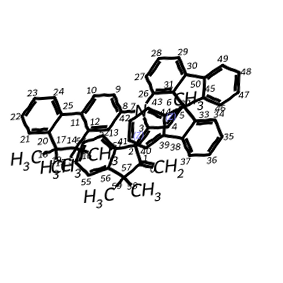 C=C1/C(=C(\C=C/C)N(c2ccc3c(c2)C(C)(C)C(C)(C)c2ccccc2-3)c2cccc3c2C2(c4ccccc4-c4ccccc42)c2ccccc2-3)c2ccccc2C1(C)C